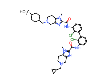 Cn1c(C(=O)Nc2cccc(-c3cccc(NC(=O)c4nc5c(n4C)CCN(CC4CCC(C(=O)O)CC4)C5)c3Cl)c2Cl)nc2c1CCN(CC1CC1)C2